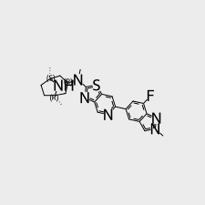 CN(c1nc2cnc(-c3cc(F)c4nn(C)cc4c3)cc2s1)[C@@H]1C[C@]2(C)CC[C@](C)(C1)N2